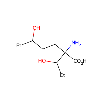 CCC(O)CCC(N)(C(=O)O)C(O)CC